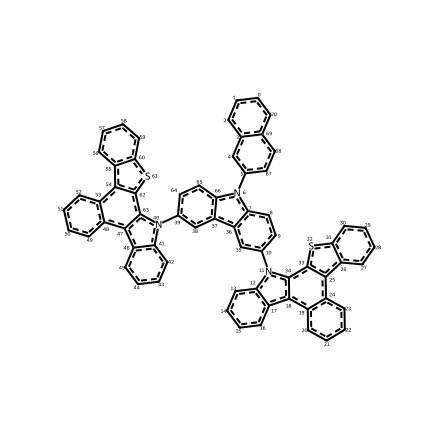 c1ccc2cc(-n3c4ccc(-n5c6ccccc6c6c7ccccc7c7c8ccccc8sc7c65)cc4c4cc(-n5c6ccccc6c6c7ccccc7c7c8ccccc8sc7c65)ccc43)ccc2c1